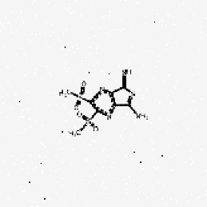 CS(=O)(=O)c1nc2c(nc1S(C)(=O)=O)C(N)=NC2=N